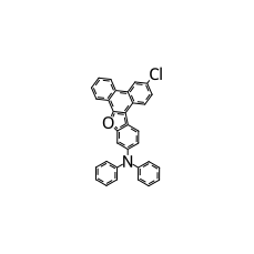 Clc1ccc2c(c1)c1ccccc1c1oc3cc(N(c4ccccc4)c4ccccc4)ccc3c21